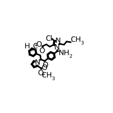 CCCCc1nc(Cl)c(CCC(=O)OC)n1[C@H](N)c1ccc(C(=O)C(Cc2ccccc2)n2cccc2C(=O)OC)cc1